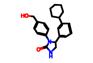 O=C1NCC(c2cccc(C3CCCCC3)c2)N1c1ccc(CO)cc1